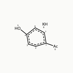 CC(=O)c1ccc(O)cc1.[KH]